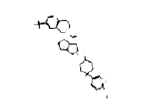 COc1ccc(C2(O)CCC(N[C@@H]3C[C@H]4CCC[C@@]4(C(=O)N4CCc5ncc(C(F)(F)F)cc5C4)C3)CC2)cn1